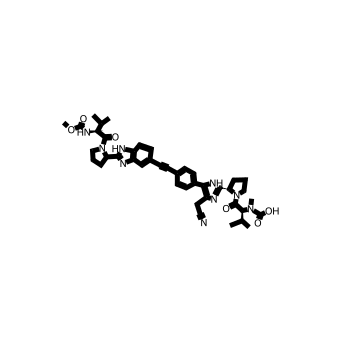 COC(=O)N[C@H](C(=O)N1CCCC1c1nc2cc(C#Cc3ccc(-c4[nH]c([C@@H]5CCCN5C(=O)[C@H](C(C)C)N(C)C(=O)O)nc4CC#N)cc3)ccc2[nH]1)C(C)C